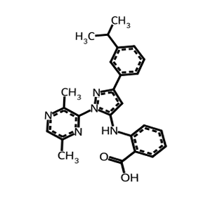 Cc1cnc(C)c(-n2nc(-c3cccc(C(C)C)c3)cc2Nc2ccccc2C(=O)O)n1